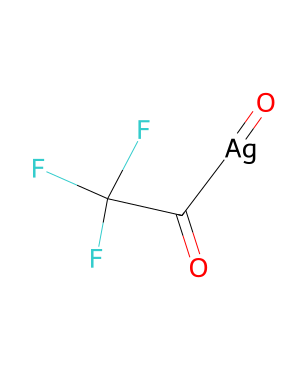 [O]=[Ag][C](=O)C(F)(F)F